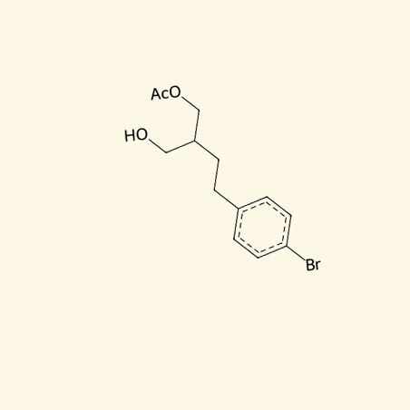 CC(=O)OCC(CO)CCc1ccc(Br)cc1